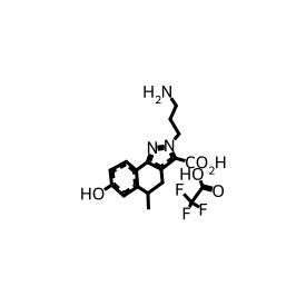 CC1Cc2c(nn(CCCN)c2C(=O)O)-c2ccc(O)cc21.O=C(O)C(F)(F)F